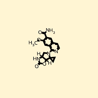 COc1cc2c(N3C[C@H]4NC(=O)O[C@H]4C34CC4)nccc2cc1C(N)=O